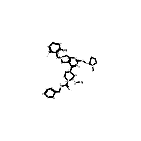 CN1CCC[C@H]1COc1nc2c(c(N3CCN(C(=O)OCc4ccccc4)[C@@H](CC#N)C3)n1)CN(Cc1c(O)cccc1F)C2